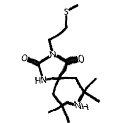 CSCCN1C(=O)NC2(CC(C)(C)NC(C)(C)C2)C1=O